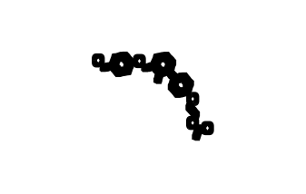 CC(=O)OCCOc1ccc(-c2cccc(COc3ccc(C=O)cc3)c2C)cc1